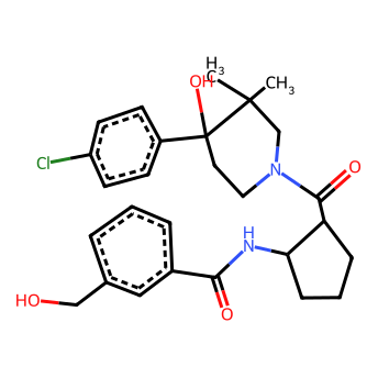 CC1(C)CN(C(=O)C2CCCC2NC(=O)c2cccc(CO)c2)CCC1(O)c1ccc(Cl)cc1